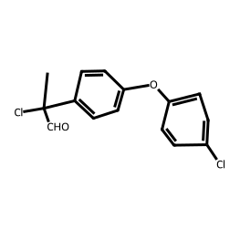 CC(Cl)(C=O)c1ccc(Oc2ccc(Cl)cc2)cc1